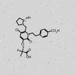 CCC[C@H]1CCCN1Cc1c(Cl)cc(Cl)c(=O)n1CCc1ccc(C(=O)O)cc1.O=C(O)C(F)(F)F